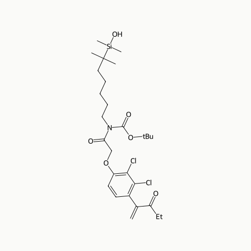 C=C(C(=O)CC)c1ccc(OCC(=O)N(CCCCCC(C)(C)[Si](C)(C)O)C(=O)OC(C)(C)C)c(Cl)c1Cl